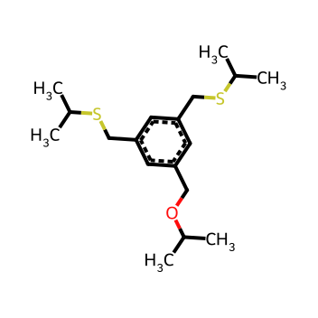 CC(C)OCc1cc(CSC(C)C)cc(CSC(C)C)c1